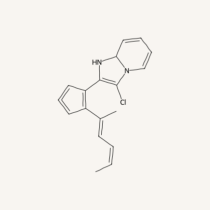 C/C=C\C=C(/C)C1=C(C2=C(Cl)N3C=CC=CC3N2)C=C=C1